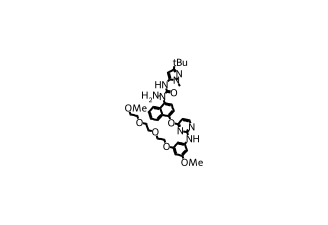 COCCOCCOCCOc1cc(Nc2nccc(Oc3ccc(N(N)C(=O)Nc4cc(C(C)(C)C)nn4C)c4ccccc34)n2)cc(OC)c1